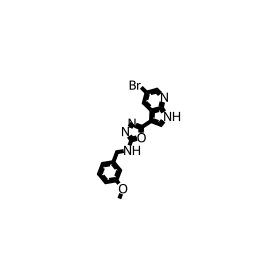 COc1cccc(CNc2nnc(-c3c[nH]c4ncc(Br)cc34)o2)c1